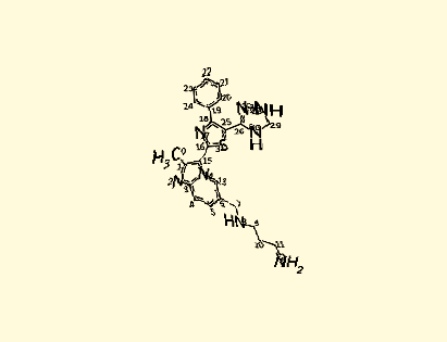 Cc1nc2ccc(CNCCCN)cn2c1-c1nc(-c2ccccc2)c(C2=NNCN2)s1